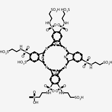 C=S(=O)(O)CCNS(=O)(=O)c1cc2c3nc4nc(nc5[nH]c(nc6nc(nc([nH]3)c2cc1S(=O)(=O)NCCS(=O)(=O)O)-c1cc(S(=O)(=O)NCCS(=O)(=O)O)ccc1-6)c1cc(S(=O)(=O)NCCS(=O)(=O)O)c(S(=O)(=O)NCCS(=O)(=O)O)cc51)-c1cc(S(=O)(=O)NCCS(=O)(=O)O)c(S(=O)(=O)O)cc1-4